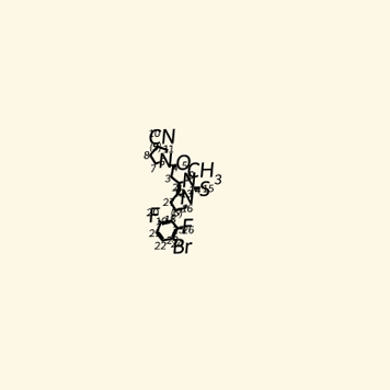 Cn1c(CC(=O)N2CC[C@H](C#N)C2)c2n(c1=S)C[C@H](c1c(F)ccc(Br)c1F)C2